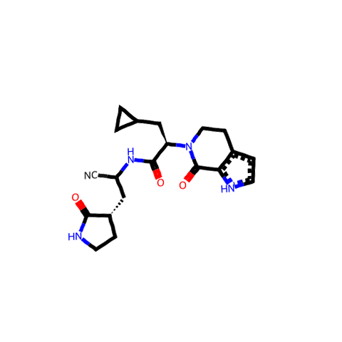 N#CC(C[C@@H]1CCNC1=O)NC(=O)[C@@H](CC1CC1)N1CCc2cc[nH]c2C1=O